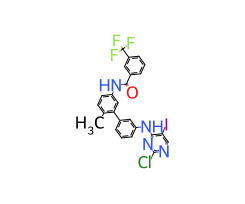 Cc1ccc(NC(=O)c2cccc(C(F)(F)F)c2)cc1-c1cccc(Nc2nc(Cl)ncc2I)c1